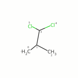 [CH2]C(C)C(Cl)Cl